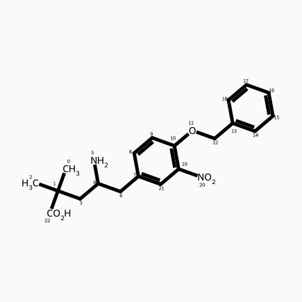 CC(C)(CC(N)Cc1ccc(OCc2ccccc2)c([N+](=O)[O-])c1)C(=O)O